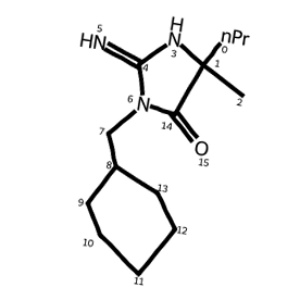 CCCC1(C)NC(=N)N(CC2CCCCC2)C1=O